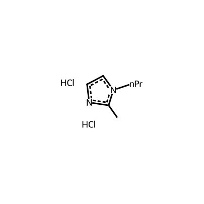 CCCn1ccnc1C.Cl.Cl